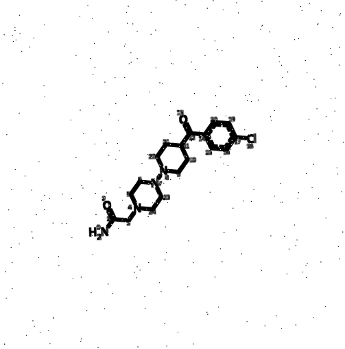 NC(=O)CN1CCN(N2CCC(C(=O)c3ccc(Cl)cc3)CC2)CC1